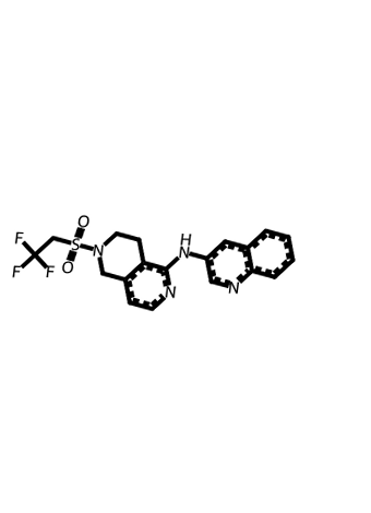 O=S(=O)(CC(F)(F)F)N1CCc2c(ccnc2Nc2cnc3ccccc3c2)C1